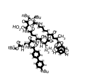 CCCCOC(=O)C[C@@H](NC(=O)CC[C@H](NC(=O)[C@H](CNC(=O)OC(C)(C)C)NC(=O)c1ccc(-c2ccc(CCCC)cc2)cc1)C(=O)N[C@@H](C)C(=O)N[C@@H](CCCCNC(=O)OC(C)(C)C)C(=O)C[C@@H](C)B1OC2C[C@@H]3C[C@@H](C3(C)C)[C@]2(C)O1)C(=O)O